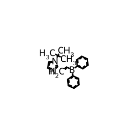 C=CB(c1ccccc1)c1ccccc1.CC(C)(C)n1ccnc1